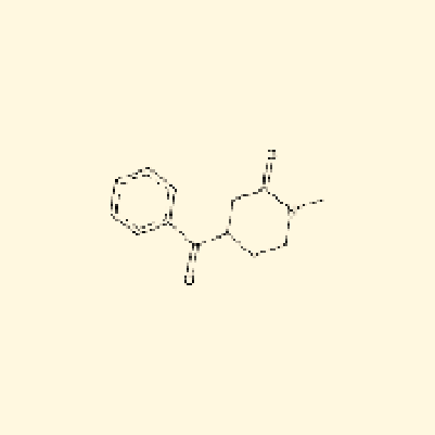 CN1CCC(C(=O)c2ccccc2)CC1=O